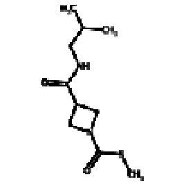 CSC(=O)N1CC(C(=O)NCC(C)C)C1